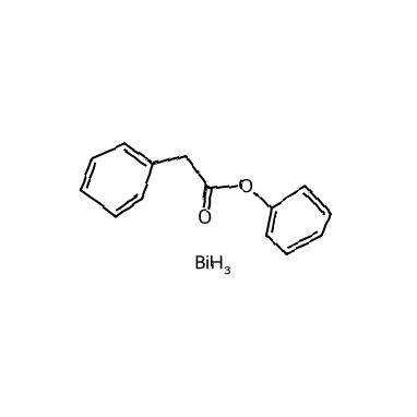 O=C(Cc1ccccc1)Oc1ccccc1.[BiH3]